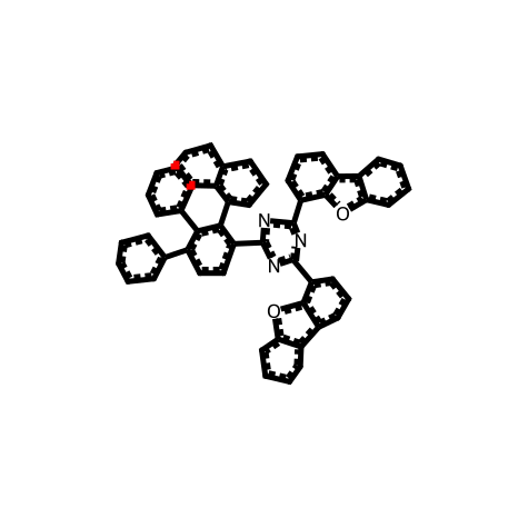 c1ccc(-c2ccc(-c3nc(-c4cccc5c4oc4ccccc45)nc(-c4cccc5c4oc4ccccc45)n3)c(-c3cccc4ccccc34)c2-c2ccccc2)cc1